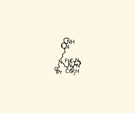 CC(C)OCCN(CCCCc1ccc2c(n1)NCCC2)CCC(NC(=O)c1nccnc1C(F)(F)F)C(=O)O